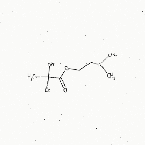 CCCC(C)(CC)C(=O)OCCN(C)C